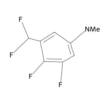 CNc1cc(F)c(F)c(C(F)F)c1